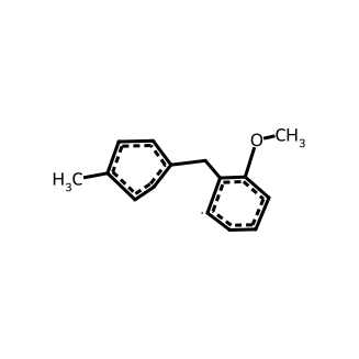 COc1ccc[c]c1Cc1ccc(C)cc1